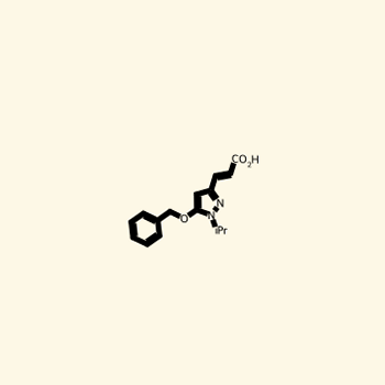 CC(C)n1nc(C=CC(=O)O)cc1OCc1ccccc1